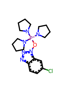 Clc1ccc2nnn(O[P+](N3CCCC3)(N3CCCC3)N3CCCC3)c2c1